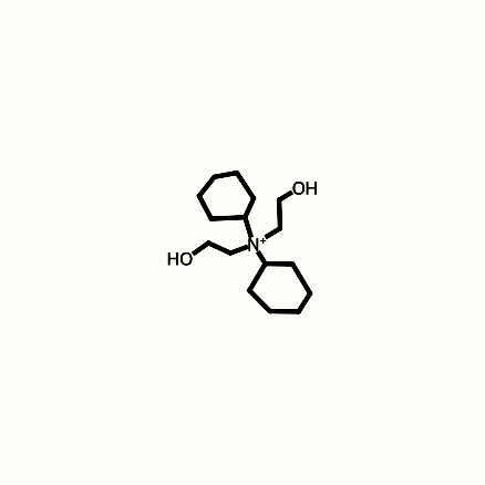 OCC[N+](CCO)(C1CCCCC1)C1CCCCC1